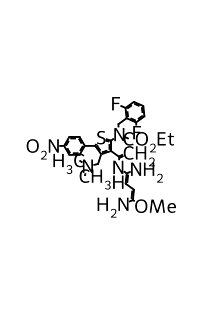 C=C(N/C(N)=C/C=C(\N)OC)c1c(N(Cc2c(F)cccc2F)C(=O)OCC)sc(-c2ccc([N+](=O)[O-])cc2)c1CN(C)C